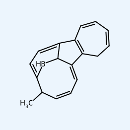 CC1/C=C\C=C2\C3=C(C=CC=CC3)C3=CC=C1BC32